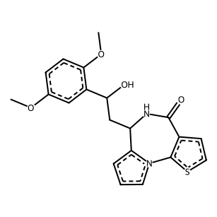 COc1ccc(OC)c(C(O)CC2NC(=O)c3ccsc3-n3cccc32)c1